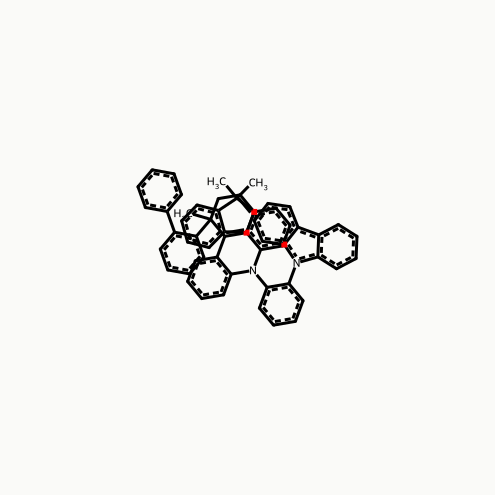 CC1(c2ccccc2-c2ccccc2)CC=CC=C1c1ccccc1N(c1ccccc1-n1c2ccccc2c2ccccc21)c1cccc2c1-c1ccccc1C2(C)C